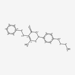 O=C1OC(c2ccc(OCCO)cc2)CC(O)=C1SCc1ccccc1